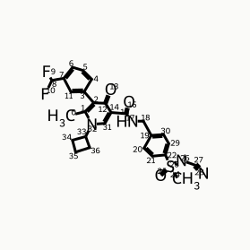 Cc1c(-c2cccc(C(F)F)c2)c(=O)c(C(=O)NCc2ccc(S(C)(=O)=NC#N)cc2)cn1C1CCC1